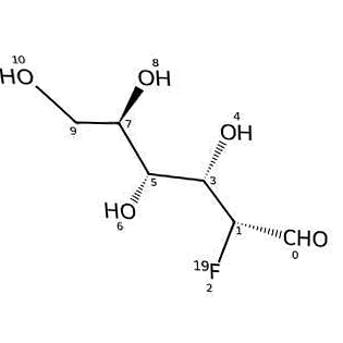 O=C[C@H]([19F])[C@@H](O)[C@H](O)[C@H](O)CO